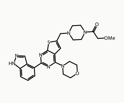 COCC(=O)N1CCN(Cc2cc3c(N4CCOCC4)nc(-c4cccc5[nH]ncc45)nc3s2)CC1